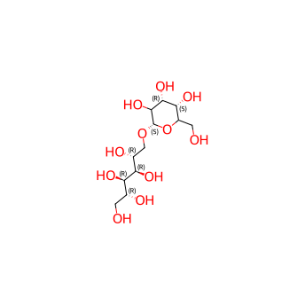 OCC1O[C@H](OC[C@@H](O)[C@@H](O)[C@H](O)[C@H](O)CO)C(O)[C@H](O)[C@@H]1O